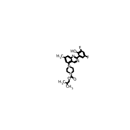 Cc1cc(N2CCN(C(=O)OCC(C)C)CC2)c2cnc(-c3cc(F)cc(F)c3O)nc2c1